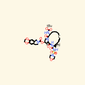 CC(C)(C)OC(=O)N[C@H]1CCCCC/C=C\[C@@H]2C[C@@]2(C(=O)NS(=O)(=O)N2CCOCC2)NC(=O)[C@@H]2C[C@@H](OC(=O)N3CCc4cc5c(cc4C3)OCCO5)CN2C1=O